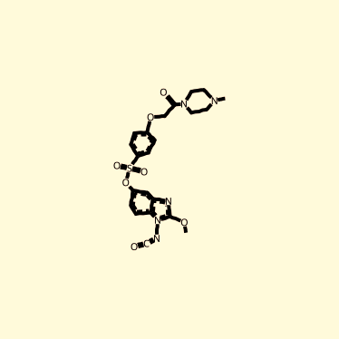 COc1nc2cc(OS(=O)(=O)c3ccc(OCC(=O)N4CCN(C)CC4)cc3)ccc2n1N=C=O